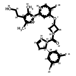 Cc1nn(-c2cc(OC3CN(C(=O)N4N=CC[C@H]4c4cc(F)cc(F)c4)C3)c(F)cn2)c(C)c1CCO